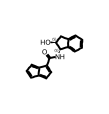 O=C(N[C@H]1c2ccccc2C[C@@H]1O)C1=CC=C2C=CC=C21